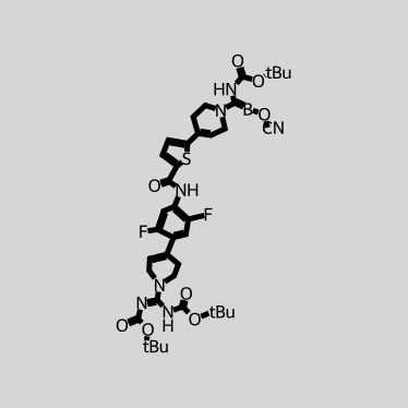 CC(C)(C)OC(=O)N=C(NC(=O)OC(C)(C)C)N1CC=C(c2cc(F)c(NC(=O)c3ccc(C4=CCN(C(=BOC#N)NC(=O)OC(C)(C)C)CC4)s3)cc2F)CC1